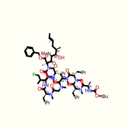 C/C=C/C[C@@H](C)[C@@H](O)[C@H](NC)C(=O)[C@](C)(C(=O)OCc1ccccc1)N(C(=O)C(N)CC)C(=O)[C@H](CC(C)C)N(C)C(=O)[C@@H](NC(=O)[C@H](CC(C)C)N(C)C(=O)CN(C)C(=O)[C@H](C(C)C)N(C)C(=O)[C@H](CC(C)C)N(C)C(=O)[C@H](CC(C)C)N(C)C(=O)[C@@H](C)NC(=O)OC(C)(C)C)C(C)CF